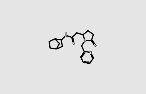 O=C(CC1CCC(=O)N1Cc1ccccn1)NC1CC2CCC1C2